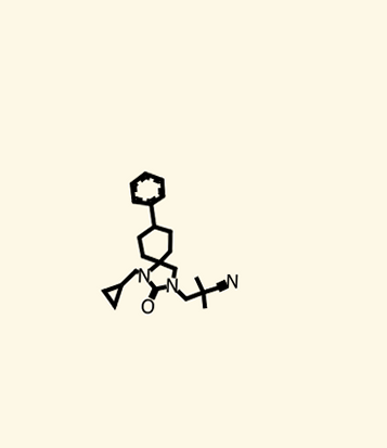 CC(C)(C#N)CN1CC2(CCC(c3ccccc3)CC2)N(CC2CC2)C1=O